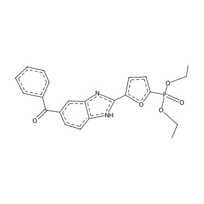 CCOP(=O)(OCC)c1ccc(-c2nc3cc(C(=O)c4ccccc4)ccc3[nH]2)o1